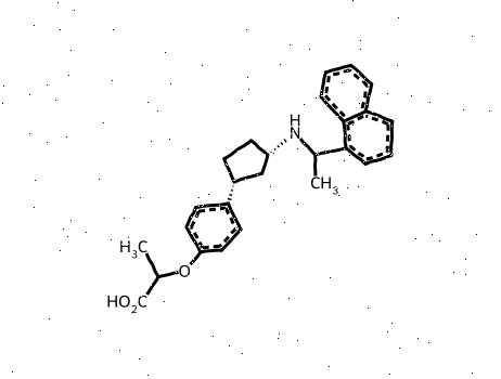 CC(Oc1ccc([C@@H]2CC[C@H](NC(C)c3cccc4ccccc34)C2)cc1)C(=O)O